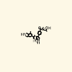 Cc1cc(-c2cnc3[nH]cc(-c4ccc(C(=O)N(C)CC(C)O)cc4)c3n2)cc2c1CNCC2.Cl